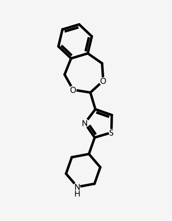 c1ccc2c(c1)COC(c1csc(C3CCNCC3)n1)OC2